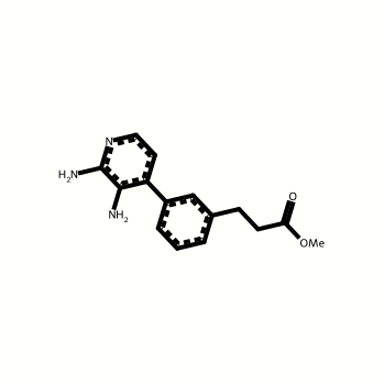 COC(=O)CCc1cccc(-c2ccnc(N)c2N)c1